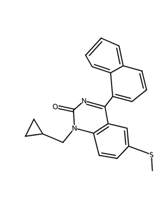 CSc1ccc2c(c1)c(-c1cccc3ccccc13)nc(=O)n2CC1CC1